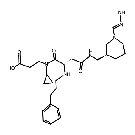 NN=CN1CCC[C@@H](CNC(=O)C[C@H](NCCCc2ccccc2)C(=O)N(CCC(=O)O)C2CC2)C1